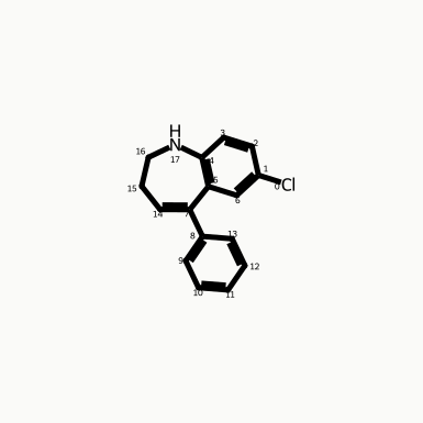 Clc1ccc2c(c1)C(c1ccccc1)=CCCN2